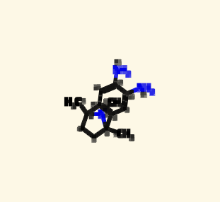 CN1C2(C)CCC1(C)c1cc(N)c(N)cc12